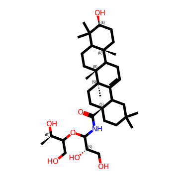 C[C@@H](O)C(CO)OC(NC(=O)[C@]12CCC(C)(C)CC1C1=CCC3[C@@]4(C)CC[C@H](O)C(C)(C)C4CC[C@@]3(C)[C@]1(C)CC2)[C@@H](O)CO